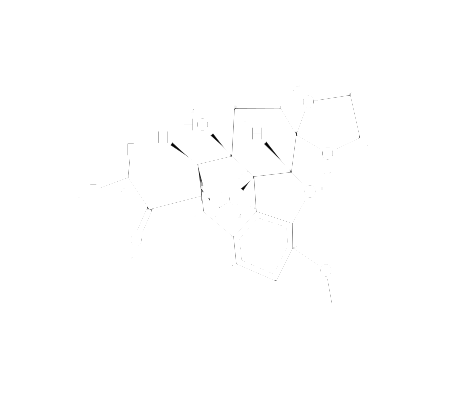 COc1ccc2c3c1O[C@H]1C4(CC[C@@]5(O)[C@@H](C2)N(C(=O)C(F)F)CC[C@]315)OCCO4